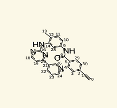 C#Cc1ccc(C(=O)Nc2ccc(C)c(Nc3nccc(-c4cccnc4)n3)c2)cc1